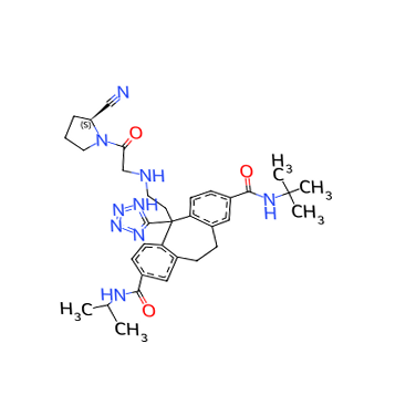 CC(C)NC(=O)c1ccc2c(c1)CCc1cc(C(=O)NC(C)(C)C)ccc1C2(CCNCC(=O)N1CCC[C@H]1C#N)c1nnn[nH]1